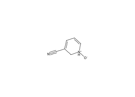 N#CC1=CC=C[NH+]([O-])C1